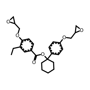 CCc1cc(C(=O)OC2(c3ccc(OCC4CO4)cc3)CCCCC2)ccc1OCC1CO1